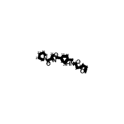 O=C(Cc1ccco1)NCc1ccc(-c2nc(C(=O)N3CCCCC3)co2)cc1